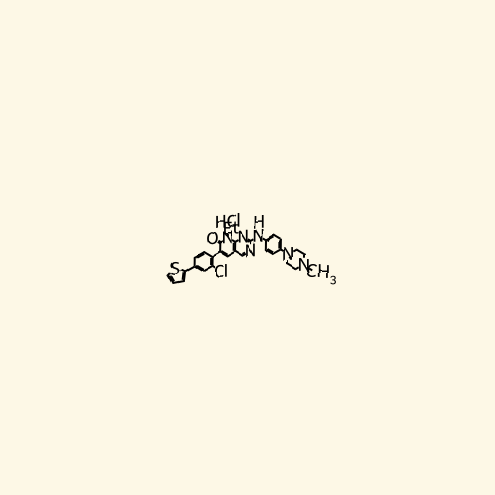 CCn1c(=O)c(-c2ccc(-c3cccs3)cc2Cl)cc2cnc(Nc3ccc(N4CCN(C)CC4)cc3)nc21.Cl